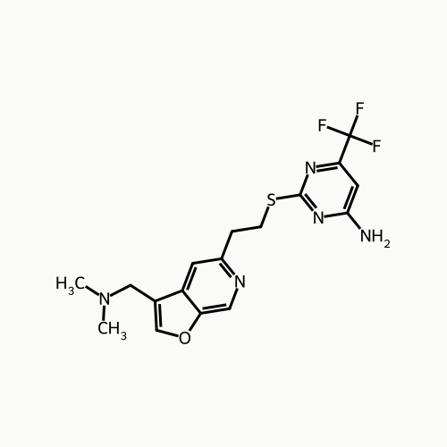 CN(C)Cc1coc2cnc(CCSc3nc(N)cc(C(F)(F)F)n3)cc12